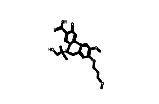 COCCCOc1cc2c(cc1OC)-c1cc(=O)c(C(=O)O)cn1[C@H](C(C)(C)CO)C2